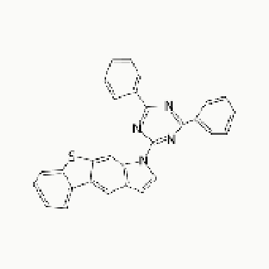 c1ccc(-c2nc(-c3ccccc3)nc(-n3ccc4cc5c(cc43)sc3ccccc35)n2)cc1